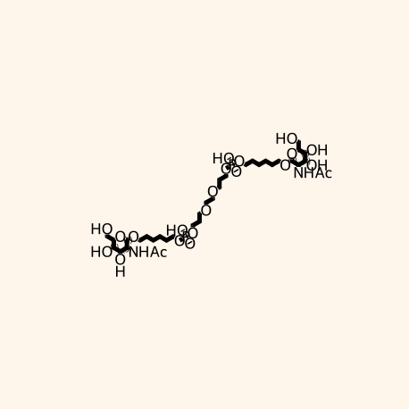 CC(=O)NC1[C@H](OCCCCCCOP(=O)(O)OCCCOCCOCCCOP(=O)(O)OCCCCCCO[C@@H]2OC(CO)[C@H](O)C(O)[C@@H]2NC(C)=O)OC(CO)[C@H](O)[C@@H]1O